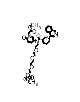 COC(=O)Cn1cc(N(CCOCCOCCOCCOS(C)(=O)=O)C(=O)[C@H]2CCCN(c3cncc4ccccc34)C2)ccc1=O